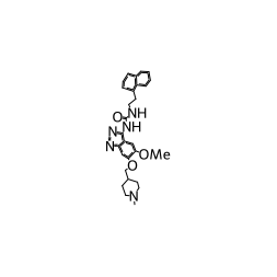 COc1cc2c(NC(=O)NCCc3cccc4ccccc34)ncnc2cc1OCC1CCN(C)CC1